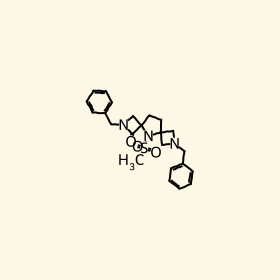 CS(=O)(=O)N1C2(CCC13CN(Cc1ccccc1)C3=O)CN(Cc1ccccc1)C2